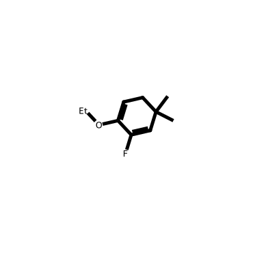 CCOC1=CCC(C)(C)C=C1F